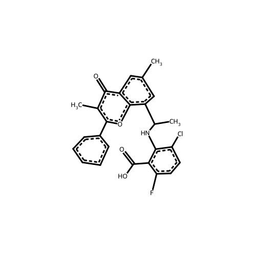 Cc1cc(C(C)Nc2c(Cl)ccc(F)c2C(=O)O)c2oc(-c3ccccc3)c(C)c(=O)c2c1